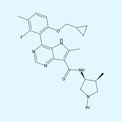 CC(=O)N1C[C@H](C)[C@H](NC(=O)c2c(C)[nH]c3c(-c4c(OCC5CC5)ccc(C)c4F)ncnc23)C1